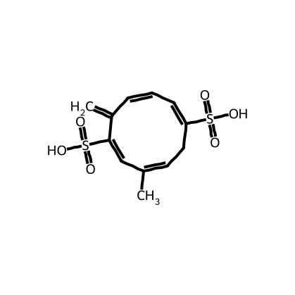 C=C1/C=C\C=C(\S(=O)(=O)O)C/C=C(C)\C=C/1S(=O)(=O)O